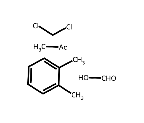 CC(C)=O.Cc1ccccc1C.ClCCl.O=CO